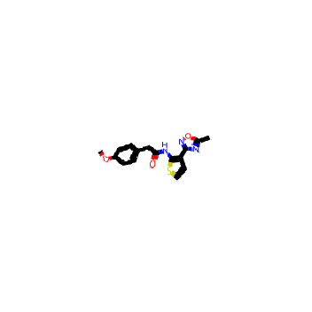 COc1ccc(CC(=O)Nc2sccc2-c2noc(C)n2)cc1